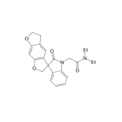 CCN(CC)C(=O)CN1C(=O)C2(COc3cc4c(cc32)CCO4)c2ccccc21